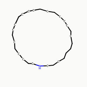 C1CCCCCCCCCCCCCCNCCCCCCCCCCCCC1